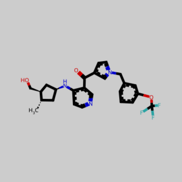 C[C@H]1C[C@H](Nc2ccncc2C(=O)c2ccn(Cc3cccc(OC(F)(F)F)c3)c2)C[C@@H]1CO